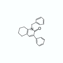 O=c1c(-c2ccccc2)cc2c(n1Cc1ccccc1)CCCC2